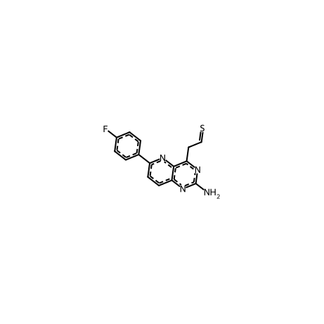 Nc1nc(CC=S)c2nc(-c3ccc(F)cc3)ccc2n1